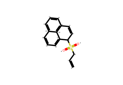 C=CCS(=O)(=O)C1C=Cc2cccc3cccc1c23